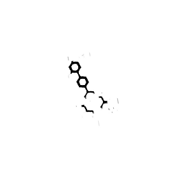 C=C(CO)C(=O)OCC(COC(=O)C(=C)COC)c1ccc(-c2ccc(CCCCC)cc2CC)cc1